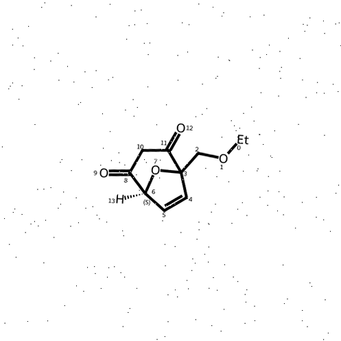 CCOCC12C=C[C@H](O1)C(=O)CC2=O